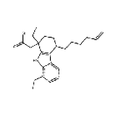 C=CCCCCC1CCC(CC)(CC(=O)O)c2[nH]c3c(CC)cccc3c21